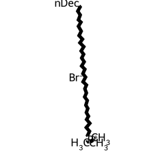 CCCCCCCCCCCCCCCCCCCCCCCCCCCCCCCCCCCCCCCCCCCC[P+](C)(C)C.[Br-]